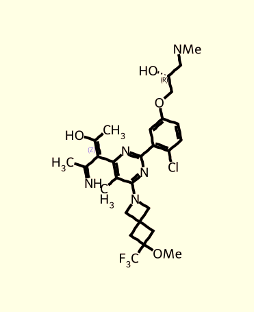 CNC[C@@H](O)COc1ccc(Cl)c(-c2nc(/C(C(C)=N)=C(\C)O)c(C)c(N3CC4(C3)CC(OC)(C(F)(F)F)C4)n2)c1